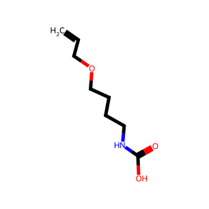 C=CCOCCCCNC(=O)O